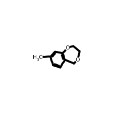 Cc1ccc2c(c1)OCCOC2